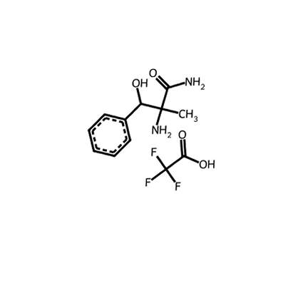 CC(N)(C(N)=O)C(O)c1ccccc1.O=C(O)C(F)(F)F